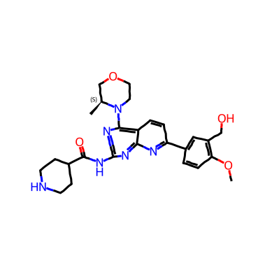 COc1ccc(-c2ccc3c(N4CCOC[C@@H]4C)nc(NC(=O)C4CCNCC4)nc3n2)cc1CO